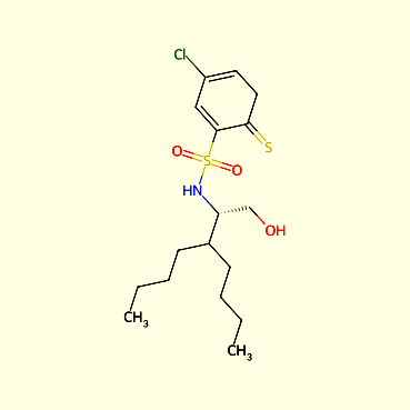 CCCCC(CCCC)[C@@H](CO)NS(=O)(=O)C1=CC(Cl)=CCC1=S